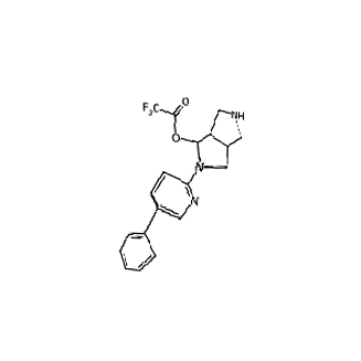 O=C(OC1C2CNCC2CN1c1ccc(-c2ccccc2)cn1)C(F)(F)F